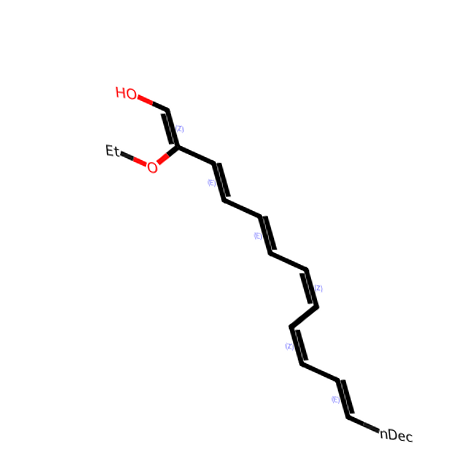 CCCCCCCCCC/C=C/C=C\C=C/C=C/C=C/C(=C/O)OCC